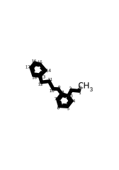 CCCc1ccccc1CCCCc1ccccc1